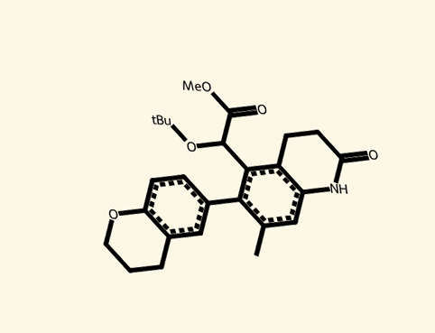 COC(=O)C(OC(C)(C)C)c1c2c(cc(C)c1-c1ccc3c(c1)CCCO3)NC(=O)CC2